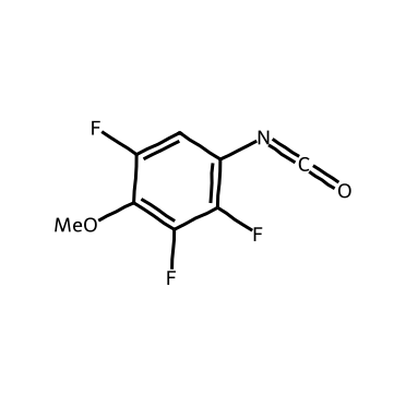 COc1c(F)cc(N=C=O)c(F)c1F